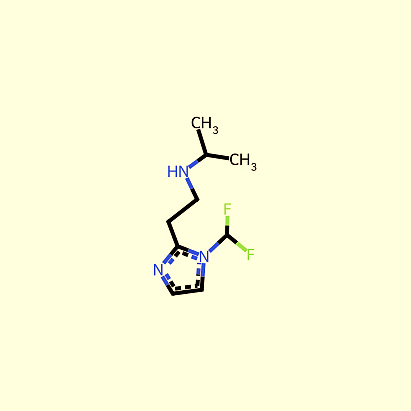 CC(C)NCCc1nccn1C(F)F